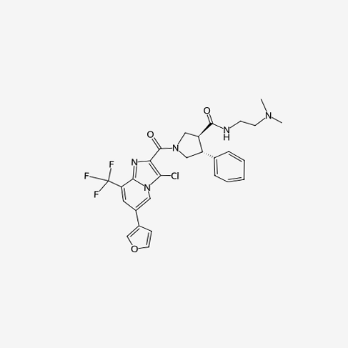 CN(C)CCNC(=O)[C@@H]1CN(C(=O)c2nc3c(C(F)(F)F)cc(-c4ccoc4)cn3c2Cl)C[C@H]1c1ccccc1